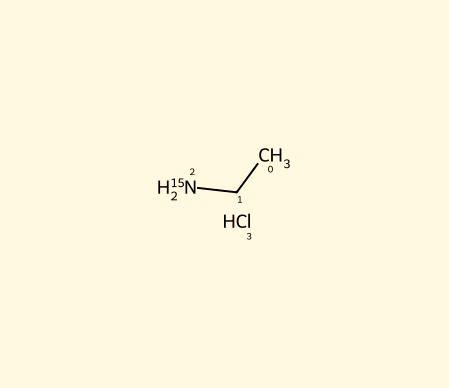 CC[15NH2].Cl